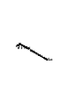 CCCCC/C=C\C/C=C\CCCCCCCC(=O)OCCCCCCCCCCCCCCCCCCC(C)CC